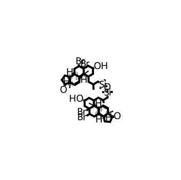 CC(CC1CC(O)CC2(Br)C(Br)C[C@@H]3[C@@H](C=C[C@]4(C)C(=O)CC[C@@H]34)[C@@]12C)C[Si](C)(C)O[Si](C)(C)CC(C)CC1CC(O)CC2(Br)C(Br)C[C@@H]3[C@@H](C=C[C@]4(C)C(=O)CC[C@@H]34)[C@@]12C